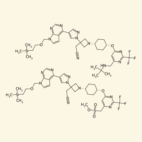 CC(C)(C)NCc1cc(O[C@H]2CC[C@@H](N3CC(CC#N)(n4cc(-c5ncnc6c5ccn6COCC[Si](C)(C)C)cn4)C3)CC2)nc(C(F)(F)F)n1.COS(=O)(=O)Cc1cc(O[C@H]2CC[C@@H](N3CC(CC#N)(n4cc(-c5ncnc6c5ccn6COCC[Si](C)(C)C)cn4)C3)CC2)nc(C(F)(F)F)n1